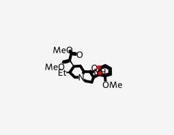 CC[C@@H]1CN2CCC34OCCOC3(Nc3cccc(OC)c34)C2C[C@@H]1/C(=C\OC)C(=O)OC